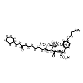 CC(C)CCOc1ccc(C[C@H](NC(=O)[C@@H](/C=C/CCCCCCC(=O)CCC2CCCCC2)C(O)(CC(=O)O)C(=O)O)C(=O)O)cc1